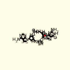 CO[C@H]1[C@H]2O[P@@](=O)(S)OC[C@H]3C[C@@H](n4ccc5c(N)ncnc54)C[C@@H]3O[PH](=O)OC[C@H]1O[C@H]2n1cnc2c(=O)[nH]c(N)nc21